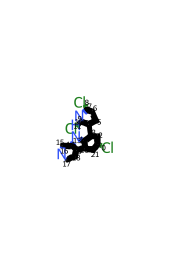 Clc1cc(-c2ccc(Cl)nc2Cl)c2[nH]c3cnccc3c2c1